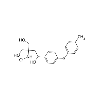 Cc1ccc(Sc2ccc(C(O)CC(CO)(CO)NCl)cc2)cc1